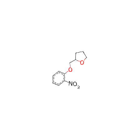 O=[N+]([O-])c1ccccc1OCC1CCCO1